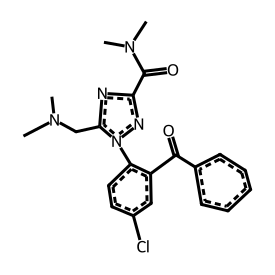 CN(C)Cc1nc(C(=O)N(C)C)nn1-c1ccc(Cl)cc1C(=O)c1ccccc1